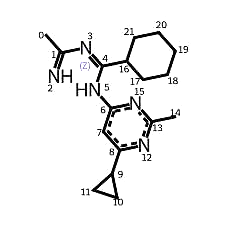 CC(=N)/N=C(\Nc1cc(C2CC2)nc(C)n1)C1CCCCC1